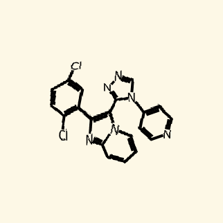 Clc1ccc(Cl)c(-c2nc3ccccn3c2-c2nncn2-c2ccncc2)c1